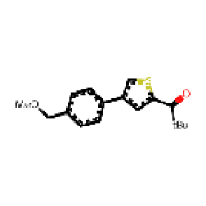 COCc1ccc(-c2csc(C(=O)C(C)(C)C)c2)cc1